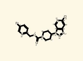 O=C(OCc1ccc(F)cn1)N1CCC(n2nnc3cc(Cl)ncc32)CC1